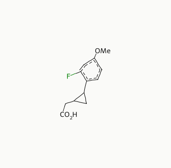 COc1ccc(C2CC2CC(=O)O)c(F)c1